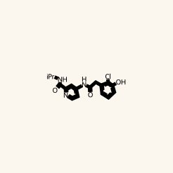 CC(C)NC(=O)c1cc(NC(=O)Cc2cccc(O)c2Cl)ccn1